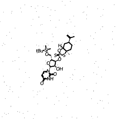 C=C(C)[C@H]1CC[C@@]2(C)SP(=S)(O[C@H]3[C@@H](O)[C@H](n4ccc(=O)[nH]c4=O)O[C@@H]3CO[Si](C)(C)C(C)(C)C)O[C@@H]2C1